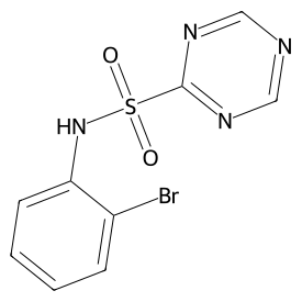 O=S(=O)(Nc1ccccc1Br)c1ncncn1